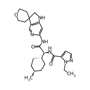 CCn1nccc1C(=O)N[C@H](C(=O)Nc1cc2c(cn1)C1(CCOCC1)CN2)[C@H]1CC[C@H](C)CC1